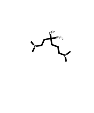 CCCC(P)(CCCP(C)C)CCP(C)C